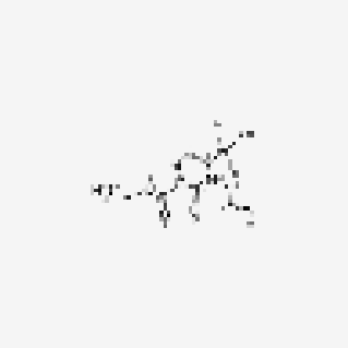 CCOC(=O)c1ccc(C(F)(F)F)n(CC=O)c1=O